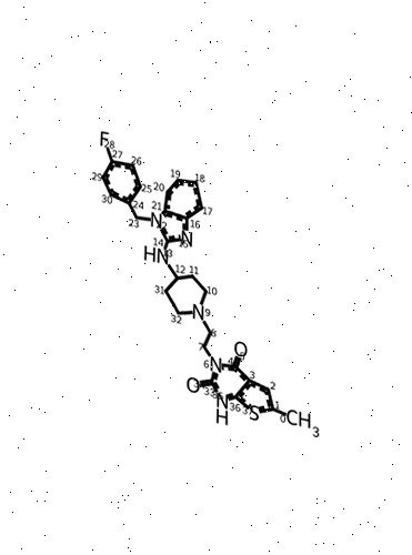 Cc1cc2c(=O)n(CCN3CCC(Nc4nc5ccccc5n4Cc4ccc(F)cc4)CC3)c(=O)[nH]c2s1